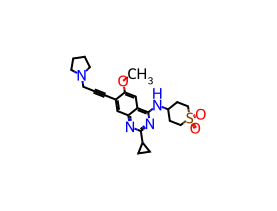 COc1cc2c(NC3CCS(=O)(=O)CC3)nc(C3CC3)nc2cc1C#CCN1CCCC1